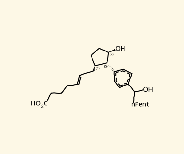 CCCCCC(O)c1ccc([C@@H]2[C@@H](CC=CCCCC(=O)O)CC[C@H]2O)cc1